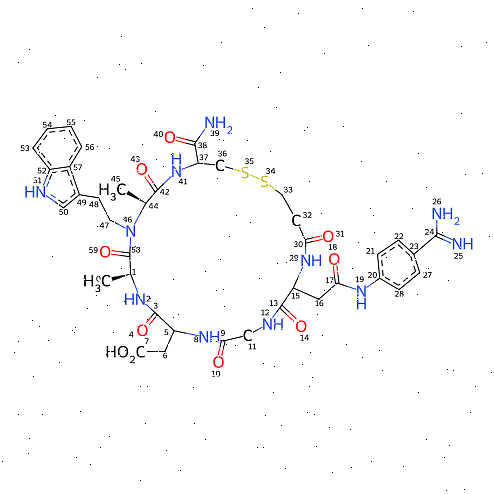 C[C@@H]1NC(=O)C(CC(=O)O)NC(=O)CNC(=O)C(CC(=O)Nc2ccc(C(=N)N)cc2)NC(=O)CCSSCC(C(N)=O)NC(=O)[C@H](C)N(CCc2c[nH]c3ccccc23)C1=O